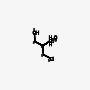 O.OCC(O)CCl